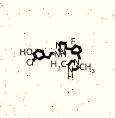 C[C@@H]1CN(Cc2ccc(F)c(-c3ccnc(NCCc4ccc(O)c(Cl)c4)n3)c2)[C@@H](C)CN1